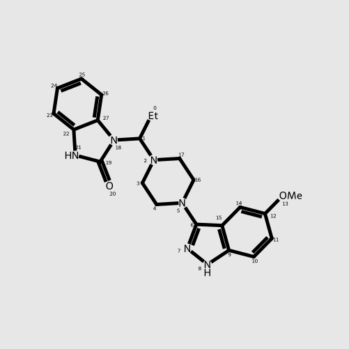 CCC(N1CCN(c2n[nH]c3ccc(OC)cc23)CC1)n1c(=O)[nH]c2ccccc21